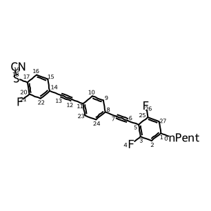 CCCCCc1cc(F)c(C#Cc2ccc(C#Cc3ccc(SC#N)c(F)c3)cc2)c(F)c1